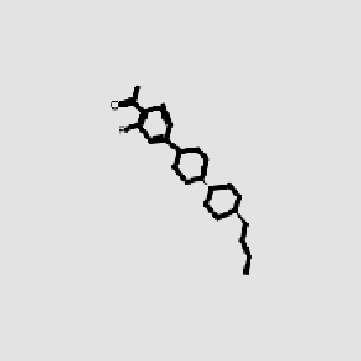 CCCC[C@H]1CC[C@H](C2CCC(c3ccc(C(C)=O)c(F)c3)CC2)CC1